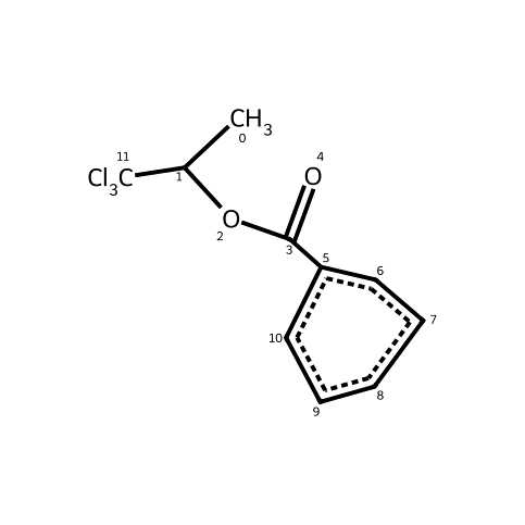 CC(OC(=O)c1ccccc1)C(Cl)(Cl)Cl